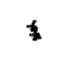 C=C1C[C@H](O)[C@H](O)C(Cl)(Cl)/C1=C/C=C1CCC[C@@]2(C)C1CC[C@@H]2[C@H](C)CCCC(C)C